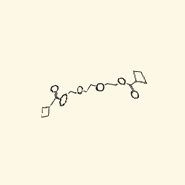 O=C(OCCOCCOCCOC(=O)C1CCC1)C1CCC1